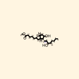 CCCC[C@H](C)[C@H](O)/C=C/[C@@H]1[C@H]2CC(CCCCC(=O)OC)S[C@@H]2C[C@H]1O